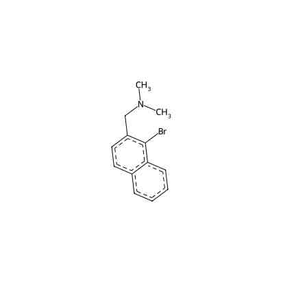 CN(C)Cc1ccc2ccccc2c1Br